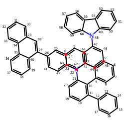 c1ccc(-c2ccccc2-c2c(-c3ccccc3)cccc2N(c2ccc(-c3cc4ccccc4c4ccccc34)cc2)c2cccc(-n3c4ccccc4c4ccccc43)c2)cc1